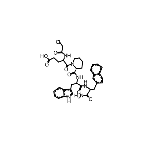 NC(=O)C(Cc1ccc2ccccc2c1)NC(=O)C(Cc1c[nH]c2ccccc12)NC(=O)[C@@H]1CCCCN1C(=O)C(CCC(=O)O)NC(=O)CCl